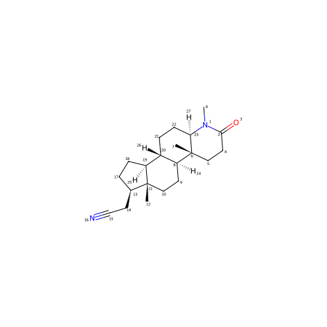 CN1C(=O)CC[C@]2(C)[C@H]3CC[C@]4(C)[C@@H](CC#N)CC[C@H]4[C@@H]3CC[C@@H]12